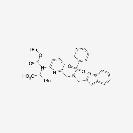 CC(C)(C)OC(=O)N(c1cccc(CN(Cc2cc3ccccc3o2)S(=O)(=O)c2cccnc2)n1)C(C(=O)O)C(C)(C)C